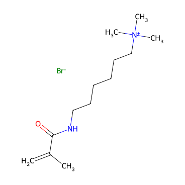 C=C(C)C(=O)NCCCCCC[N+](C)(C)C.[Br-]